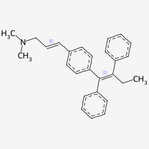 CC/C(=C(\c1ccccc1)c1ccc(/C=C/CN(C)C)cc1)c1ccccc1